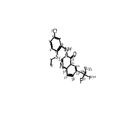 CCSc1ccc(Cl)cc1NN1C=NC2C=CC(C(F)(F)F)=CC2C1=O